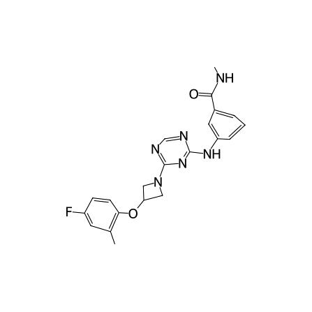 CNC(=O)c1cccc(Nc2ncnc(N3CC(Oc4ccc(F)cc4C)C3)n2)c1